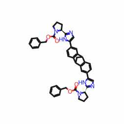 O=C(OCc1ccccc1)N1CCC[C@H]1c1ncc(-c2ccc3c(c2)C2CC3c3cc(-c4cnc([C@@H]5CCCN5C(=O)OCc5ccccc5)[nH]4)ccc32)[nH]1